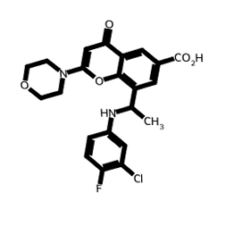 CC(Nc1ccc(F)c(Cl)c1)c1cc(C(=O)O)cc2c(=O)cc(N3CCOCC3)oc12